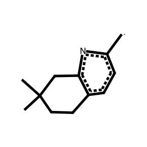 [CH2]c1ccc2c(n1)CC(C)(C)CC2